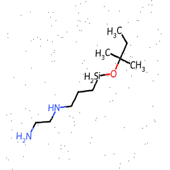 CCC(C)(C)O[SiH2]CCCNCCN